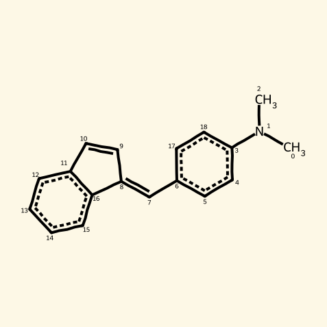 CN(C)c1ccc(/C=C2\C=Cc3ccccc32)cc1